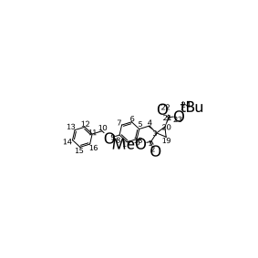 COC(=O)[C@@]1(Cc2ccc(OCc3ccccc3)cc2)C[C@@H]1C(=O)OC(C)(C)C